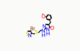 COc1cccc(Cc2cnc(NCCSCc3nscc3Br)[nH]c2=O)c1